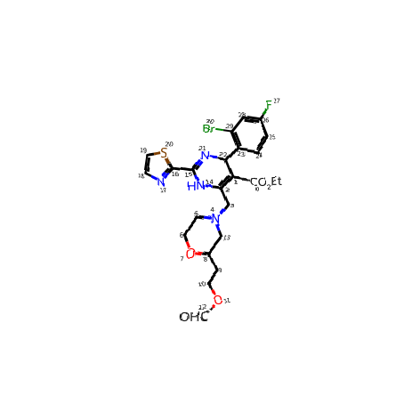 CCOC(=O)C1=C(CN2CCOC(CCOC=O)C2)NC(c2nccs2)=NC1c1ccc(F)cc1Br